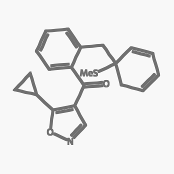 CSC1(Cc2ccccc2C(=O)c2cnoc2C2CC2)C=CC=CC1